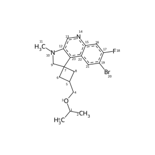 CC(C)OCC1CC2(C1)CN(C)c1cnc3cc(F)c(Br)cc3c12